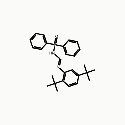 CC(C)(C)c1ccc(C(C)(C)C)c(/N=C/NP(=O)(c2ccccc2)c2ccccc2)c1